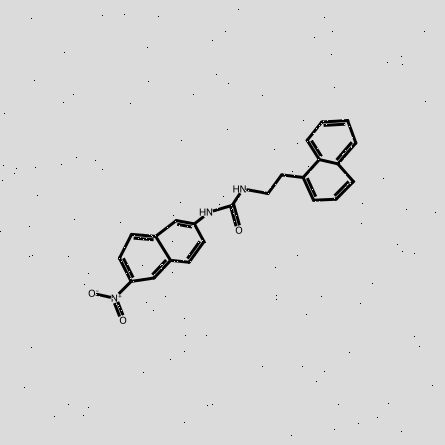 O=C(NCCc1cccc2ccccc12)Nc1ccc2cc([N+](=O)[O-])ccc2c1